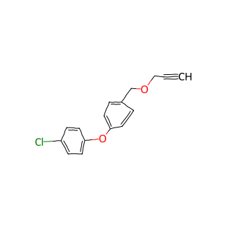 C#CCOCc1ccc(Oc2ccc(Cl)cc2)cc1